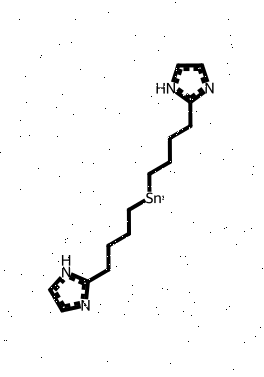 c1c[nH]c(CCC[CH2][Sn][CH2]CCCc2ncc[nH]2)n1